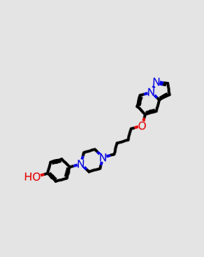 Oc1ccc(N2CCN(CCCCOc3ccn4nccc4c3)CC2)cc1